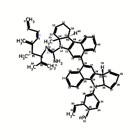 C=C/C=C\C(=C)[C@@H](C)C(/N=C(\N)N1c2cc(-c3cc4c(c5ccccc35)N(C3=CC(C=C)[C@H](CCC)C=C3)C3C=CC=C[C@@H]43)c3ccccc3c2[C@@H]2CCC=CC21C)C(=C)C